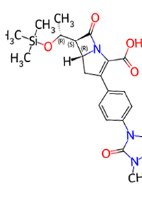 C[C@@H](O[Si](C)(C)C)[C@H]1C(=O)N2C(C(=O)O)=C(c3ccc(N4CCN(C)C4=O)cc3)C[C@H]12